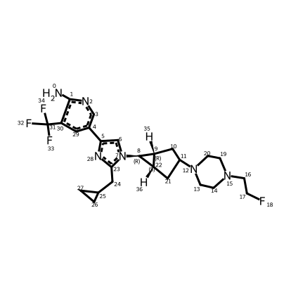 Nc1ncc(-c2cn([C@H]3[C@@H]4CC(N5CCN(CCF)CC5)C[C@@H]43)c(CC3CC3)n2)cc1C(F)(F)F